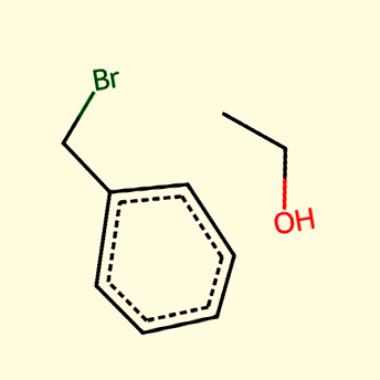 BrCc1ccccc1.CCO